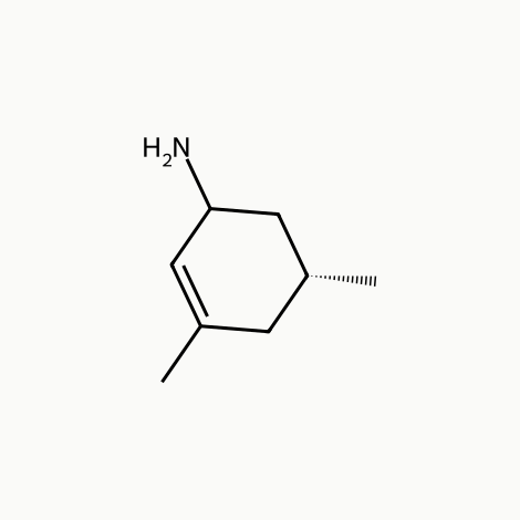 CC1=CC(N)C[C@H](C)C1